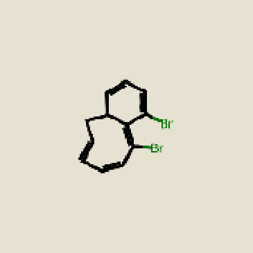 BrC1=CC=CC2C/C=C/C=C\C(Br)=C\12